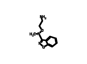 CN(OCCN)c1noc2ccccc12